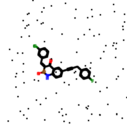 O=C1/C(=C\c2cccc(Cl)c2)[S+]([O-])Nc2ccc(C#CCc3ccc(F)cc3)cc21